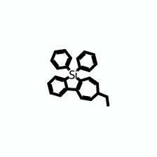 CCC1C=CC2=C(C=C1)[Si](c1ccccc1)(c1ccccc1)c1ccccc12